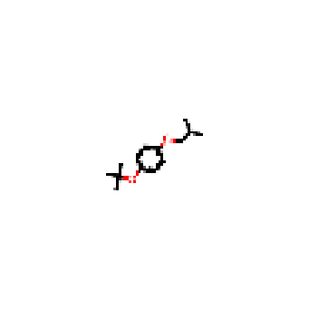 CC(C)COc1ccc(OC(C)(C)C)cc1